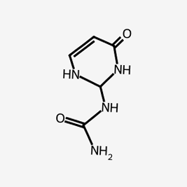 NC(=O)NC1NC=CC(=O)N1